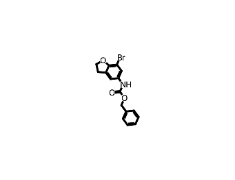 O=C(Nc1cc(Br)c2c(c1)CCO2)OCc1ccccc1